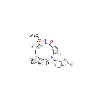 COCC[C@@H]1[C@@H](C)C/C=C/[C@](C=O)(OC)[C@@H]2CC[C@H]2CN2C[C@@]3(CCCc4cc(Cl)ccc43)COc3ccc(cc32)C(=O)NS1(=O)=O